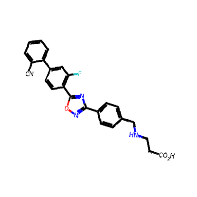 N#Cc1ccccc1-c1ccc(-c2nc(-c3ccc(CNCCC(=O)O)cc3)no2)c(F)c1